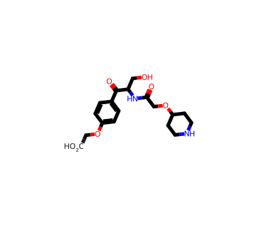 O=C(O)COc1ccc(C(=O)C(CO)NC(=O)COC2CCNCC2)cc1